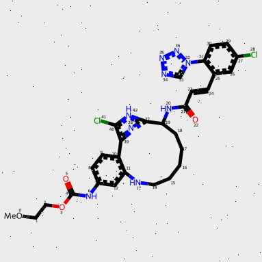 COCCOC(=O)Nc1ccc2c(c1)NCCCCCC(NC(=O)/C=C/c1cc(Cl)ccc1-n1cnnn1)c1nc-2c(Cl)[nH]1